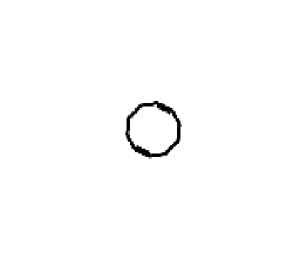 C1=C\CCC/C=C\CCC/1